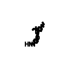 CCC(C)(C)c1ccc(OCCOc2ccc(N=N)cc2)c(C(C)(C)CC)c1